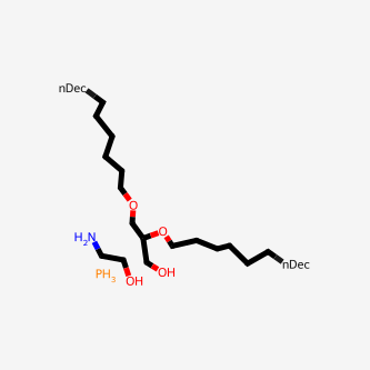 CCCCCCCCCCCCCCCCOCC(CO)OCCCCCCCCCCCCCCCC.NCCO.P